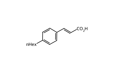 CCCCCCc1ccc(/C=C/C(=O)O)cc1